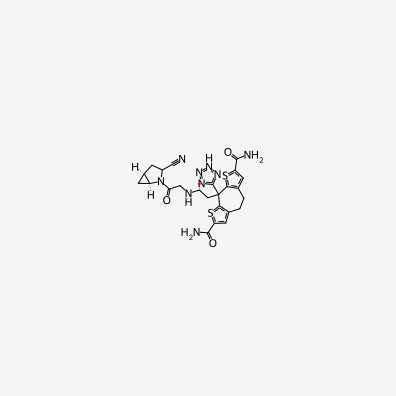 C[C@H](CC1(c2nn[nH]n2)c2sc(C(N)=O)cc2CCc2cc(C(N)=O)sc21)NCC(=O)N1C(C#N)C[C@@H]2C[C@@H]21